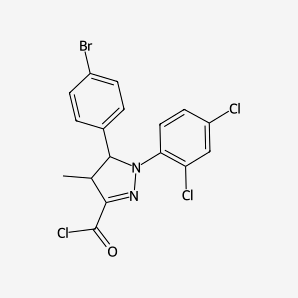 CC1C(C(=O)Cl)=NN(c2ccc(Cl)cc2Cl)C1c1ccc(Br)cc1